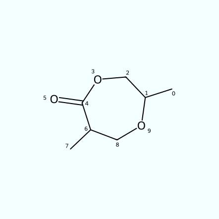 CC1COC(=O)C(C)CO1